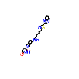 O=C1CCC(N2Cc3ccc(NCCCCCCc4ncc(-c5cnc6ccccc6n5)s4)cc3C2)C(=O)N1